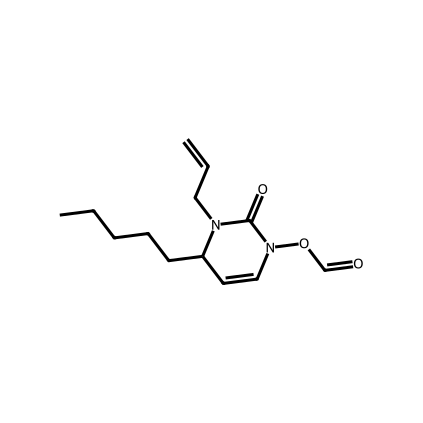 C=CCN1C(=O)N(OC=O)C=CC1CCCCC